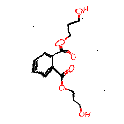 O=C(OCCCO)c1ccccc1C(=O)OCCCO